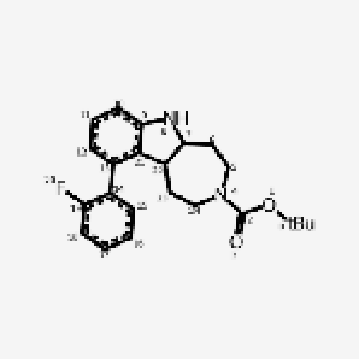 CC(C)(C)OC(=O)N1CCC2Nc3cccc(-c4ccccc4F)c3C2CC1